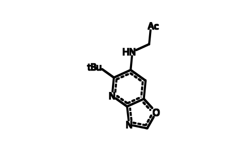 CC(=O)CNc1cc2ocnc2nc1C(C)(C)C